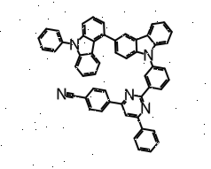 N#Cc1ccc(-c2cc(-c3ccccc3)nc(-c3cccc(-n4c5ccccc5c5cc(-c6cccc7c6c6ccccc6n7-c6ccccc6)ccc54)c3)n2)cc1